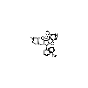 COc1cncc2c1[C@]1(O)[C@H](O)[C@H](CN3CCN(C)CC3)C(c3ccccc3)[C@]1(c1ccc(Br)cc1)O2